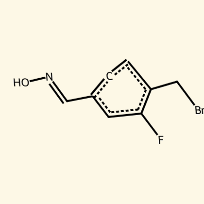 ON=Cc1ccc(CBr)c(F)c1